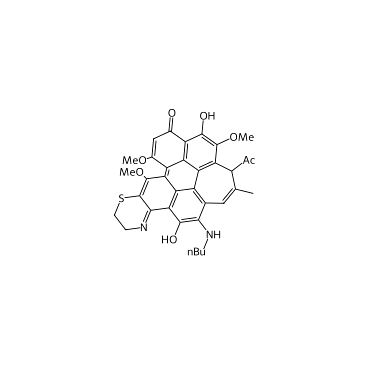 CCCCNc1c(O)c2c3c(c(OC)c4c5c6c(c(O)c(OC)c7c6c(c1C=C(C)C7C(C)=O)c42)C(=O)C=C5OC)SCCN=3